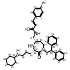 O=C(C=Cc1ccc(F)cc1)NC[C@@H]1CCN(CC(c2ccccc2)c2ccccc2)C(=O)[C@H](CCCNC2CCCCC2)N1